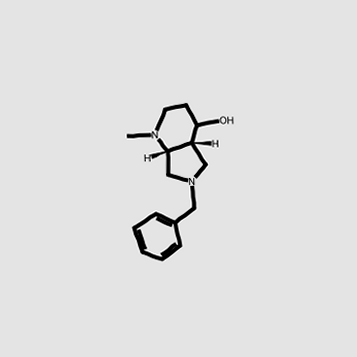 CN1CCC(O)[C@@H]2CN(Cc3ccccc3)C[C@@H]21